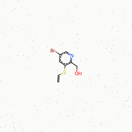 C=CSc1cc(Br)cnc1CO